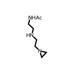 CC(=O)NCCNCCN1CC1